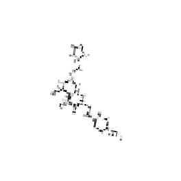 CC1CCC(SCc2nc3cc(OCC4CCOC4)cc(F)c3c(=O)[nH]2)CC1